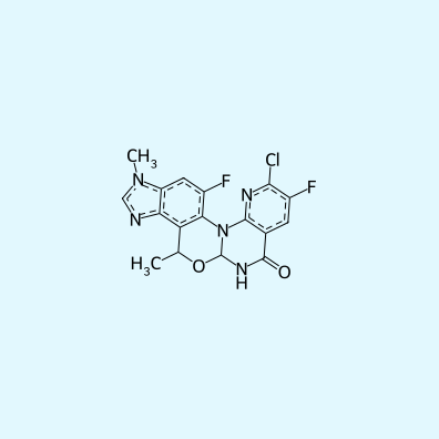 CC1OC2NC(=O)c3cc(F)c(Cl)nc3N2c2c(F)cc3c(ncn3C)c21